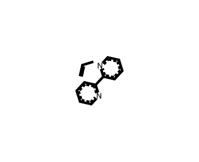 C=CC.c1ccc(-c2ccccn2)nc1